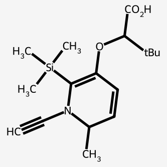 C#CN1C([Si](C)(C)C)=C(OC(C(=O)O)C(C)(C)C)C=CC1C